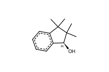 CC1(C)c2ccccc2[C@H](O)C1(C)C